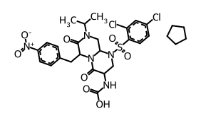 C1CCCC1.CC(C)N1CC2N(C(=O)C(NC(=O)O)CN2S(=O)(=O)c2ccc(Cl)cc2Cl)C(Cc2ccc([N+](=O)[O-])cc2)C1=O